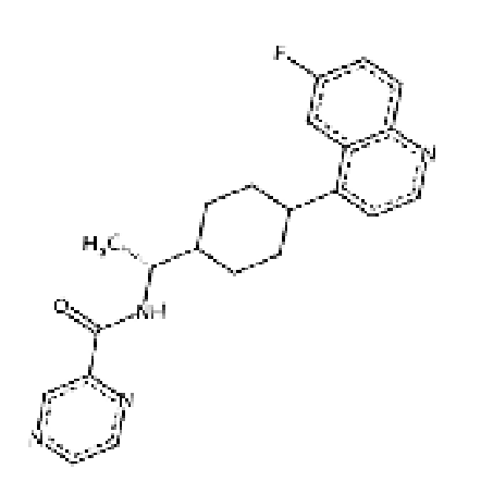 C[C@@H](NC(=O)c1cnccn1)C1CCC(c2ccnc3ccc(F)cc23)CC1